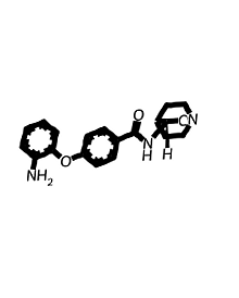 Nc1ccccc1Oc1ccc(C(=O)N[C@H]2CN3CCC2CC3)cc1